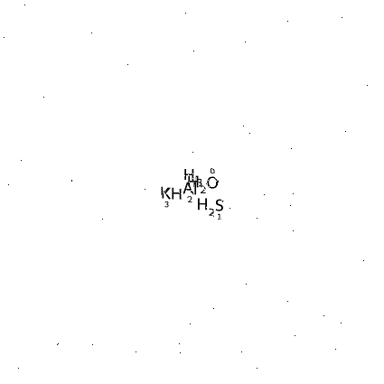 O.S.[AlH3].[KH]